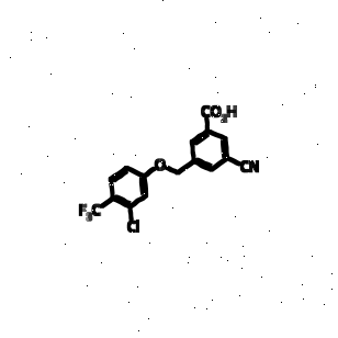 N#Cc1cc(COc2ccc(C(F)(F)F)c(Cl)c2)cc(C(=O)O)c1